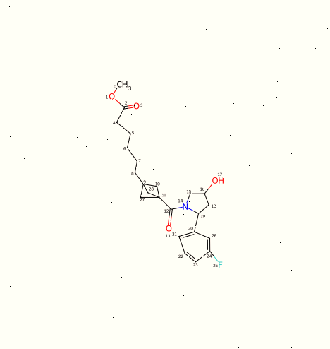 COC(=O)CCCCCC12CC(C(=O)N3CC(O)CC3c3cccc(F)c3)(C1)C2